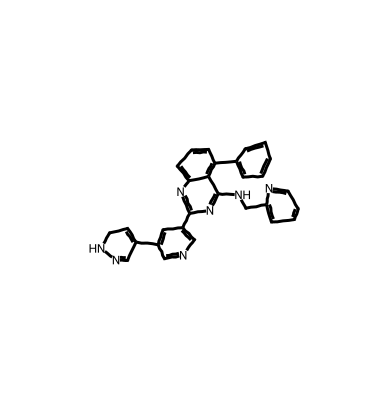 C1=NNCC=C1c1cncc(-c2nc(NCc3ccccn3)c3c(-c4ccccc4)cccc3n2)c1